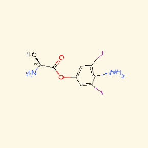 C[C@H](N)C(=O)Oc1cc(I)c(N)c(I)c1